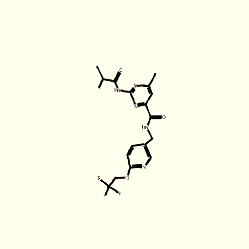 Cc1cc(C(=O)NCc2ccc(OCC(F)(F)F)nc2)nc(NC(=O)C(C)C)n1